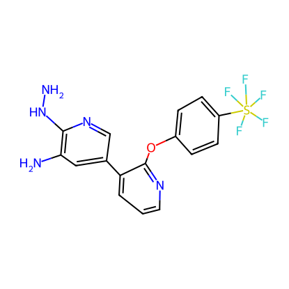 NNc1ncc(-c2cccnc2Oc2ccc(S(F)(F)(F)(F)F)cc2)cc1N